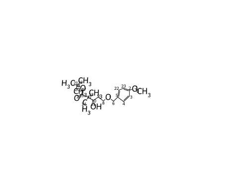 COc1ccc(COCCC(O)C(C)(C)C(=O)OC(C)(C)C)cc1